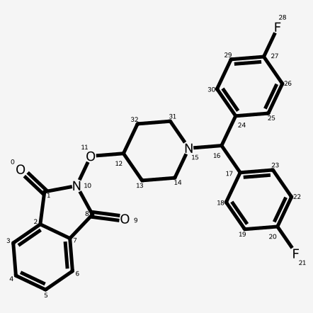 O=C1c2ccccc2C(=O)N1OC1CCN(C(c2ccc(F)cc2)c2ccc(F)cc2)CC1